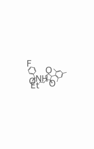 CCC(CC1CC(=O)C(c2c(C)cc(C)cc2C)C1=O)NC(=O)c1ccc(F)cc1